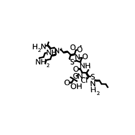 CCC/C=C/[N+](=C\C(NCCCN)=C(/C)N)C/C=C/C1=C(C(=O)OC)N2C(=O)[C@@H](NC(=O)C(=N\OC(C)(C)C(=O)O)/C(C)=C(\Cl)S/C(N)=C/CCC)C2SC1